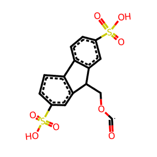 O=[C]OCC1c2cc(S(=O)(=O)O)ccc2-c2ccc(S(=O)(=O)O)cc21